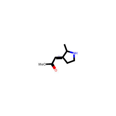 COC(=O)/C=C1\CCNC1C